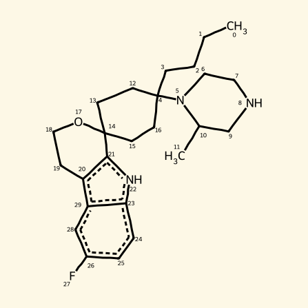 CCCCC1(N2CCNCC2C)CCC2(CC1)OCCc1c2[nH]c2ccc(F)cc12